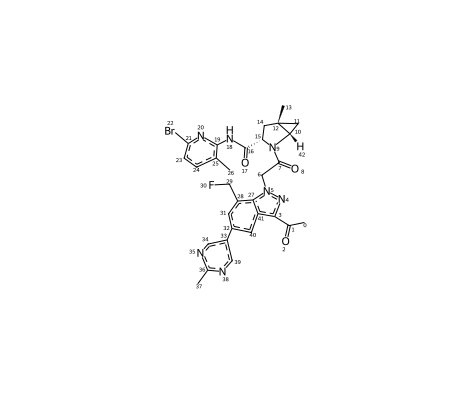 CC(=O)c1nn(CC(=O)N2[C@H]3C[C@@]3(C)C[C@H]2C(=O)Nc2nc(Br)ccc2C)c2c(CF)cc(-c3cnc(C)nc3)cc12